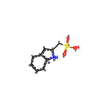 O=S(=O)(O)Cc1cc2ccccc2[nH]1